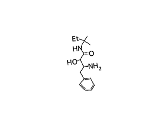 CCC(C)(C)NC(=O)C(O)[C@@H](N)Cc1ccccc1